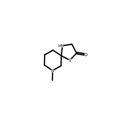 CN1CCCC2(C1)NCC(=O)S2